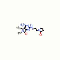 CC(C)N1C(=O)c2nc(NCCCN3CCCC3=O)nc(N)c2C1C(C)(C)C